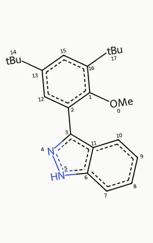 COc1c(-c2n[nH]c3ccccc23)cc(C(C)(C)C)cc1C(C)(C)C